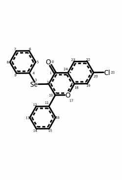 O=c1c([Se]c2ccccc2)c(-c2ccccc2)oc2cc(Cl)ccc12